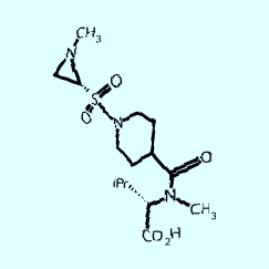 CC(C)[C@@H](C(=O)O)N(C)C(=O)C1CCN(S(=O)(=O)[C@@H]2CN2C)CC1